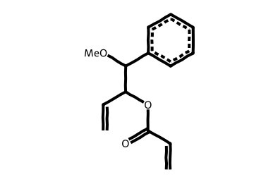 C=CC(=O)OC(C=C)C(OC)c1ccccc1